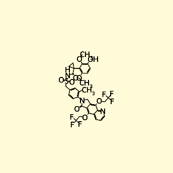 COc1ccc(O)c(OC)c1C1(C(=O)NS(=O)(=O)Cc2ccc(N3Cc4c(c(OCC(F)(F)F)c5cccnc5c4OCC(F)(F)F)C3=O)c(C)c2)CC1